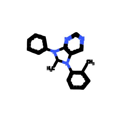 Cc1ccccc1N1c2cncnc2N(c2ccccc2)C1C